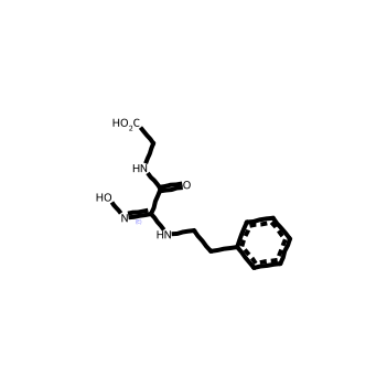 O=C(O)CNC(=O)/C(=N\O)NCCc1ccccc1